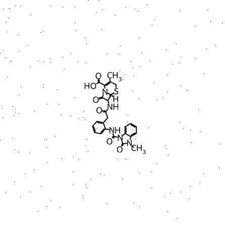 CC1=C(C(=O)O)N2C(=O)C(NC(=O)Cc3ccccc3NC(=O)n3c(=O)n(C)c4ccccc43)[C@H]2SC1